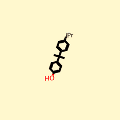 CC(C)c1ccc(C(C)(C)c2ccc(O)cc2)cc1